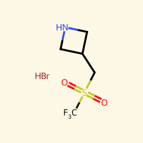 Br.O=S(=O)(CC1CNC1)C(F)(F)F